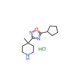 CC1(c2noc(C3CCCC3)n2)CCNCC1.Cl